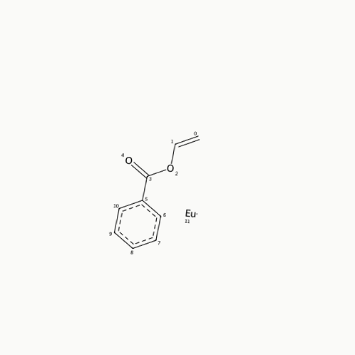 C=COC(=O)c1ccccc1.[Eu]